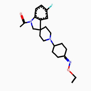 CCON=C1CCC(N2CCC3(CC2)CN(C(C)=O)c2ccc(F)cc23)CC1